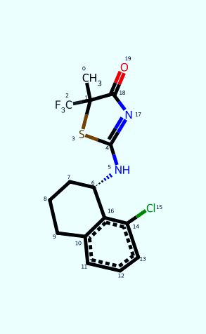 CC1(C(F)(F)F)SC(N[C@H]2CCCc3cccc(Cl)c32)=NC1=O